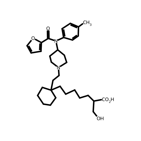 Cc1ccc(N(C(=O)c2ccco2)C2CCN(CCC3(CCCCCC(CO)C(=O)O)CCCCC3)CC2)cc1